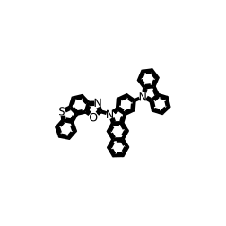 c1ccc2cc3c(cc2c1)c1cc(-n2c4ccccc4c4ccccc42)ccc1n3-c1nc2ccc3sc4ccccc4c3c2o1